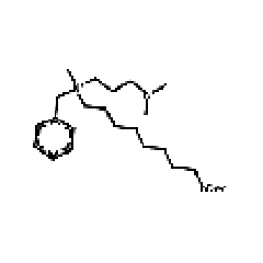 CCCCCCCCCCCCCCCCCC[N+](C)(CCCN(C)C)Cc1[c]cccc1